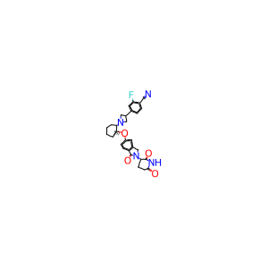 N#Cc1ccc(C2CN(C3CCCC[C@@H]3Oc3ccc4c(c3)CN(C3CCC(=O)NC3=O)C4=O)C2)cc1F